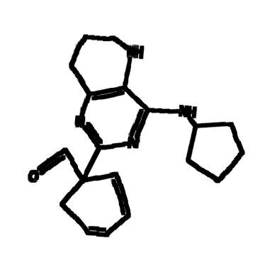 O=CC1(c2nc3c(c(NC4CCCC4)n2)NCCC3)C=CC=CC1